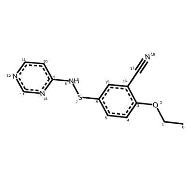 CCOc1ccc(SNc2ccncn2)cc1C#N